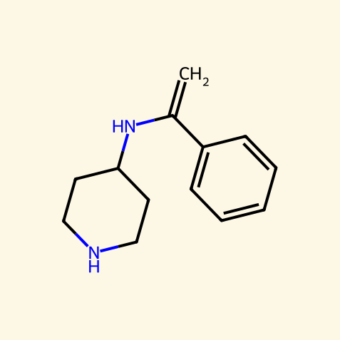 C=C(NC1CCNCC1)c1ccccc1